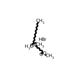 Br.CCCCCCCCCCCCCC(CC)(CC)NCCCCCC(=O)OCC